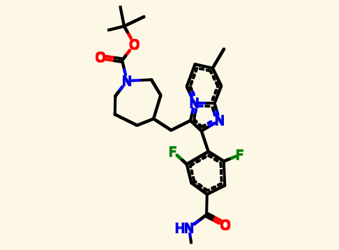 CNC(=O)c1cc(F)c(-c2nc3cc(C)ccn3c2CC2CCCN(C(=O)OC(C)(C)C)CC2)c(F)c1